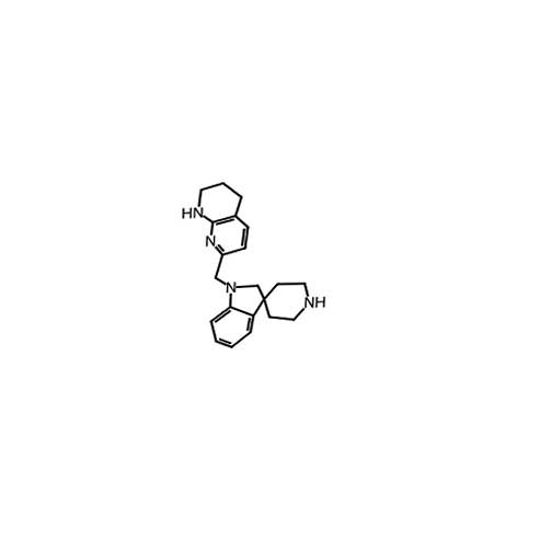 c1ccc2c(c1)N(Cc1ccc3c(n1)NCCC3)CC21CCNCC1